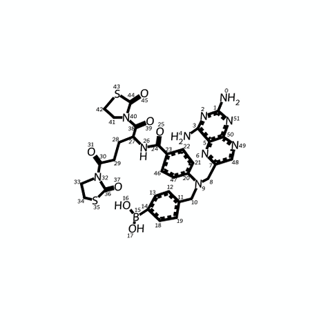 Nc1nc(N)c2nc(CN(Cc3ccc(B(O)O)cc3)c3ccc(C(=O)NC(CCC(=O)N4CCSC4=O)C(=O)N4CCSC4=O)cc3)cnc2n1